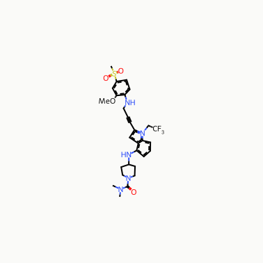 COc1cc(S(C)(=O)=O)ccc1NCC#Cc1cc2c(NC3CCN(C(=O)N(C)C)CC3)cccc2n1CC(F)(F)F